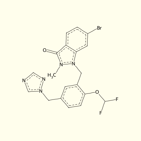 Cn1c(=O)c2ccc(Br)cc2n1Cc1cc(Cn2cncn2)ccc1OC(F)F